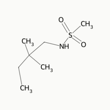 CCC(C)(C)CNS(C)(=O)=O